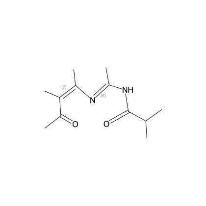 CC(=O)/C(C)=C(C)\N=C(/C)NC(=O)C(C)C